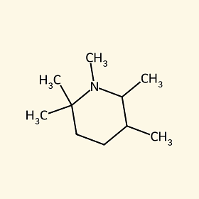 CC1CCC(C)(C)N(C)C1C